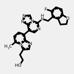 Cc1ccc(-c2cnc(NCc3c(F)ccc4c3CCO4)n3cnnc23)c2ncc(CCO)n12